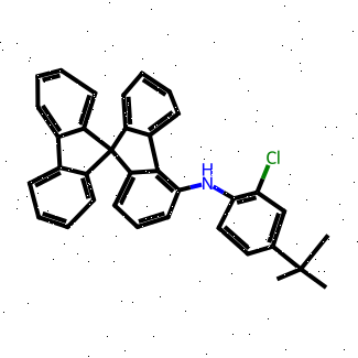 CC(C)(C)c1ccc(Nc2cccc3c2-c2ccccc2C32c3ccccc3-c3ccccc32)c(Cl)c1